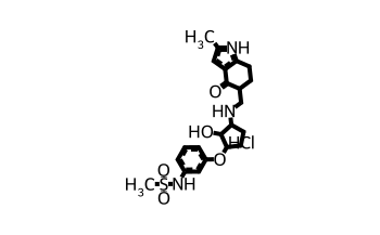 Cc1cc2c([nH]1)CCC(CNC1CCC(Oc3cccc(NS(C)(=O)=O)c3)C1O)C2=O.Cl